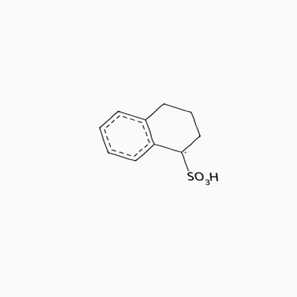 O=S(=O)(O)[C]1CCCc2ccccc21